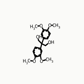 COc1ccc(C(CO)(CO)c2ccc(OC)c(OC)c2)cc1OC